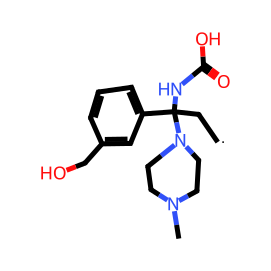 [CH2]CC(NC(=O)O)(c1cccc(CO)c1)N1CCN(C)CC1